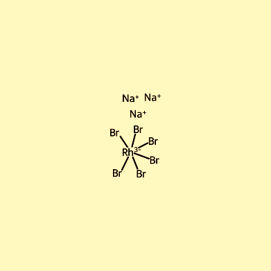 [Br][Rh-3]([Br])([Br])([Br])([Br])[Br].[Na+].[Na+].[Na+]